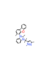 Cc1cc(C(C)(C)N2c3ccccc3N(c3c(C)ccc4c3oc3ccccc34)[C@H]2C)n(C)n1